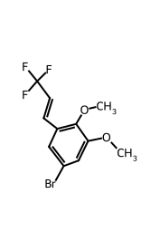 COc1cc(Br)cc(/C=C/C(F)(F)F)c1OC